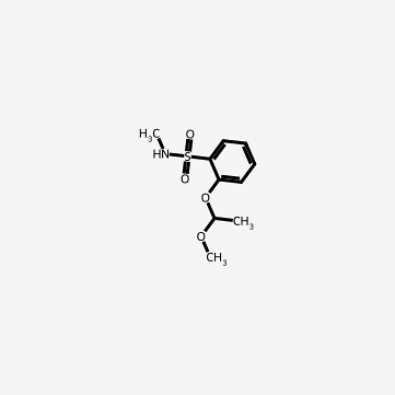 CNS(=O)(=O)c1ccccc1OC(C)OC